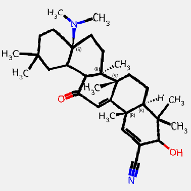 CN(C)[C@]12CCC(C)(C)CC1C1C(=O)C=C3[C@@]4(C)C=C(C#N)C(O)C(C)(C)[C@@H]4CC[C@@]3(C)[C@]1(C)CC2